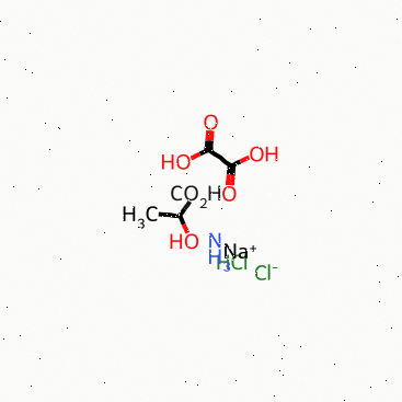 CC(O)C(=O)O.Cl.N.O=C(O)C(=O)O.[Cl-].[Na+]